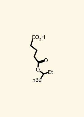 CCCCC(CC)OC(=O)CCCC(=O)O